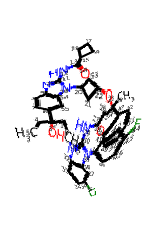 CCC(O)(CC)c1ccc2nc(NC(=O)C3CCC3)n(C3CC(OC(C)(CC(=O)Nc4nc5ccc(Cl)cc5n4-c4ccc(F)cc4)c4ccccc4)C3)c2c1